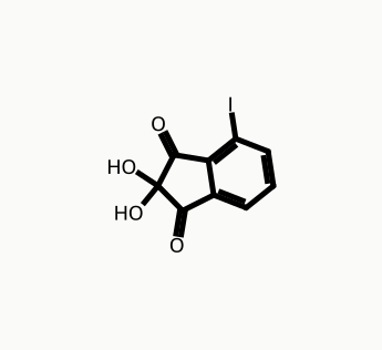 O=C1c2cccc(I)c2C(=O)C1(O)O